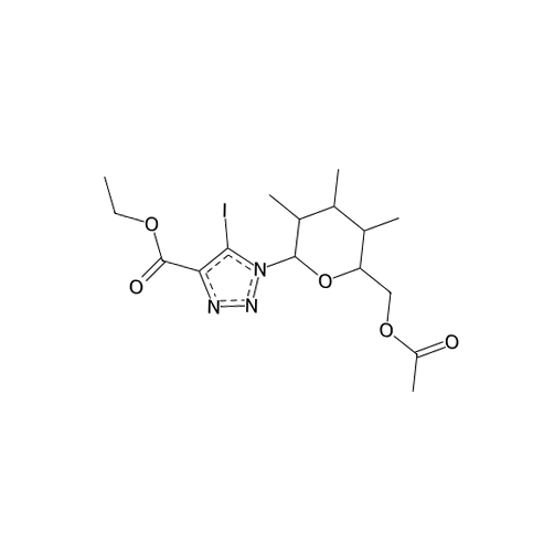 CCOC(=O)c1nnn(C2OC(COC(C)=O)C(C)C(C)C2C)c1I